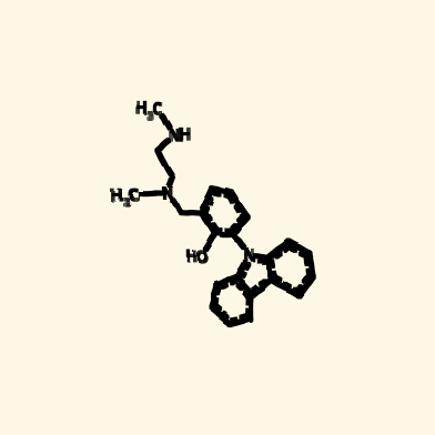 CNCCN(C)Cc1cccc(-n2c3ccccc3c3ccccc32)c1O